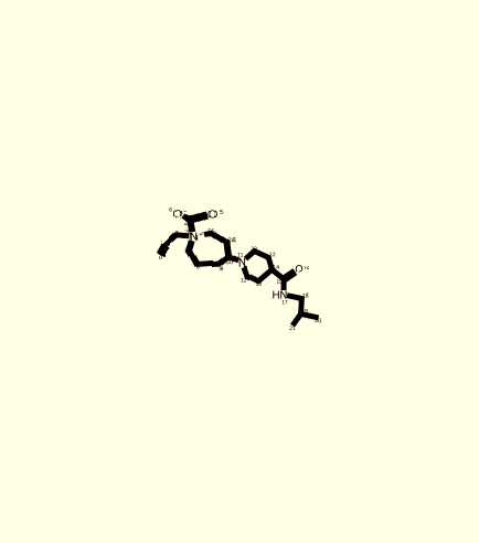 C#CC[N+]1(C(=O)[O-])CCCC(N2CCC(C(=O)NCC(C)C)CC2)CC1